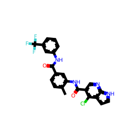 Cc1ccc(C(=O)Nc2cccc(C(F)(F)F)c2)cc1NC(=O)c1cnc2[nH]ccc2c1Cl